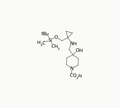 CC(C)(C)[Si](C)(C)OCC1(NCC2(O)CCN(C(=O)O)CC2)CC1